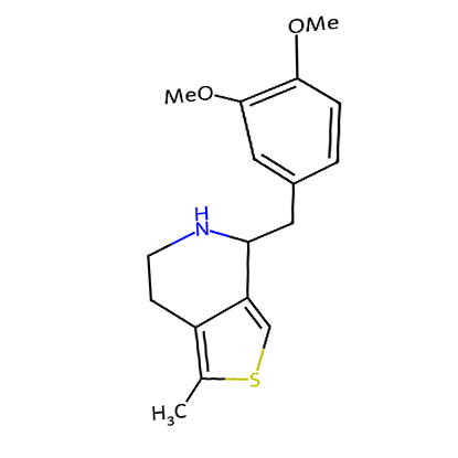 COc1ccc(CC2NCCc3c2csc3C)cc1OC